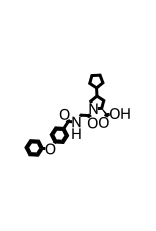 O=C(NCC(=O)N1CC(C2CCCC2)C[C@H]1C(=O)O)c1ccc(Oc2ccccc2)cc1